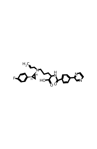 C=CCN(CCCC(NC(=O)c1ccc(-c2cnccn2)cc1)C(=O)O)[C@@H]1C[C@H]1c1ccc(F)cc1